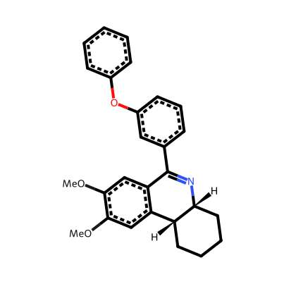 COc1cc2c(cc1OC)[C@H]1CCCC[C@H]1N=C2c1cccc(Oc2ccccc2)c1